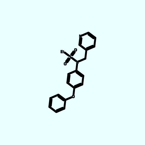 CCS(=O)(=O)N(Cc1cccnc1)c1ccc(Oc2ccccc2)cc1